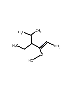 CCC(/C(=C/N)OO)C(C)C